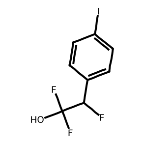 OC(F)(F)C(F)c1ccc(I)cc1